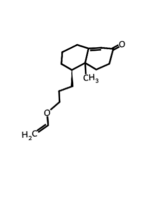 C=COCCC[C@H]1CCCC2=CC(=O)CCC21C